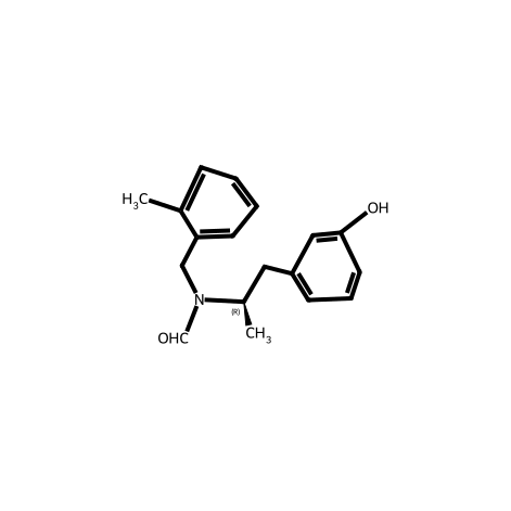 Cc1ccccc1CN(C=O)[C@H](C)Cc1cccc(O)c1